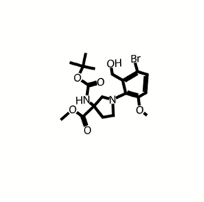 COC(=O)C1(NC(=O)OC(C)(C)C)CCN(c2c(OC)ccc(Br)c2CO)C1